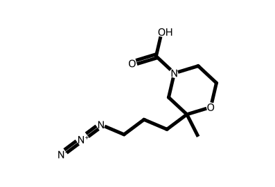 CC1(CCCN=[N+]=[N-])CN(C(=O)O)CCO1